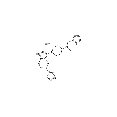 CCCC1CC(N(C)Cc2cccs2)CCN1c1c[nH]c2ccc(-n3cnnc3)cc12